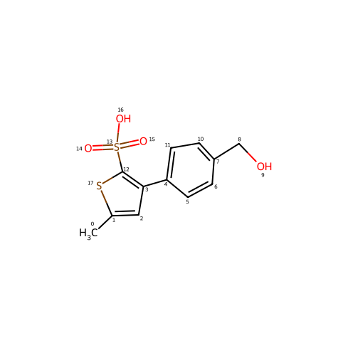 Cc1cc(-c2ccc(CO)cc2)c(S(=O)(=O)O)s1